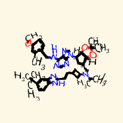 COc1ccc(CNc2ncnc3c2ncn3[C@@H]2C[C@H](CN(C(C)C)C3CC(CCc4nc5cc(C(C)(C)C)ccc5[nH]4)C3)[C@H]3OC(C)(C)O[C@H]32)c(C)c1